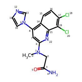 CN(CC(N)=O)c1cc(-n2ccnc2)c2ccc(Cl)c(Cl)c2n1